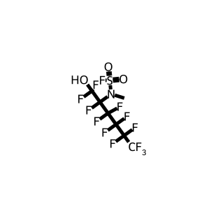 CN(C(F)(C(O)(F)F)C(F)(F)C(F)(F)C(F)(F)C(F)(F)F)S(=O)(=O)F